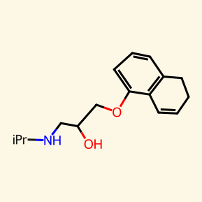 CC(C)NCC(O)COc1cccc2c1C=CCC2